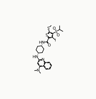 CSc1sc(C(=O)N[C@H]2CC[C@@H](Nc3cc(N(C)C)c4ccccc4n3)CC2)c(I)c1S(=O)(=O)C(C)C